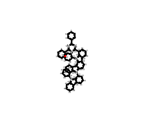 c1ccc(-c2nc(-c3ccccc3)nc(-c3cccc4c5ccc6c(c7ccccc7n6-c6cccc7c8ccccc8n(-c8ccccc8)c67)c5n(-c5ccccc5)c34)n2)cc1